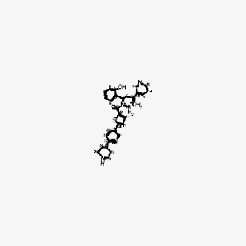 C=C(CC(c1ccccc1O)N(N)C(=O)c1ccc(-c2ccc(N3CCNCC3)nc2)s1)c1cccnc1